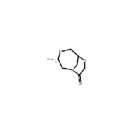 C[C@H]1CN2CC(CO1)OCC2=O